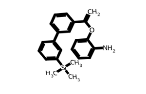 C=C(Oc1ccccc1N)c1cccc(-c2cccc([Si](C)(C)C)c2)c1